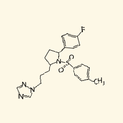 Cc1ccc(S(=O)(=O)N2C(CCCn3cncn3)CCC2c2ccc(F)cc2)cc1